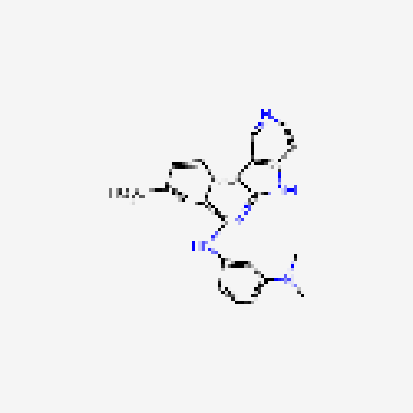 CN(C)c1cccc(Nc2nc3[nH]c4ccncc4c3c3ccc(C(=O)O)cc23)c1